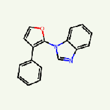 c1ccc(-c2ccoc2-n2cnc3ccccc32)cc1